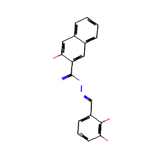 N=C(N/N=C/c1cccc(O)c1O)c1cc2ccccc2cc1O